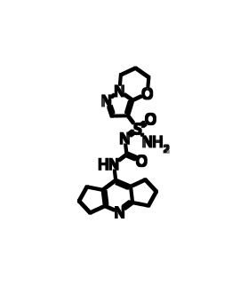 NS(=O)(=NC(=O)Nc1c2c(nc3c1CCC3)CCC2)c1cnn2c1OCCC2